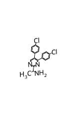 CC(N)c1ncc(-c2ccc(Cl)cc2)c(-c2ccc(Cl)cc2)n1